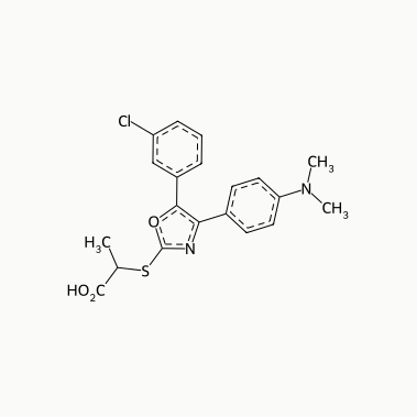 CC(Sc1nc(-c2ccc(N(C)C)cc2)c(-c2cccc(Cl)c2)o1)C(=O)O